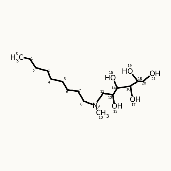 CCCCCCCCCN(C)CC(O)C(O)C(O)C(O)CO